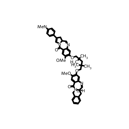 CNc1ccc(C2=CN3C(=O)c4cc(OC)c(OCC(C)(C)CC(C)(C)COc5cc6c(cc5OC)C(=O)N5Cc7ccccc7C[C@H]5C=N6)cc4N=CC3C2)cc1